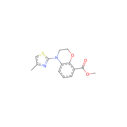 COC(=O)c1cccc2c1OCCN2c1nc(C)cs1